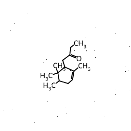 CCC(=O)CC1C(C)=CCC(C)C1(C)C